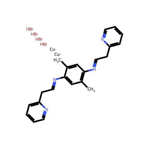 Br.Br.Br.Br.Cc1cc(N=CCc2ccccn2)c(C)cc1N=CCc1ccccn1.[Cu].[Cu]